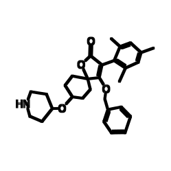 Cc1cc(C)c(C2=C(OCc3ccccc3)C3(CCC(OC4CCNCC4)CC3)OC2=O)c(C)c1